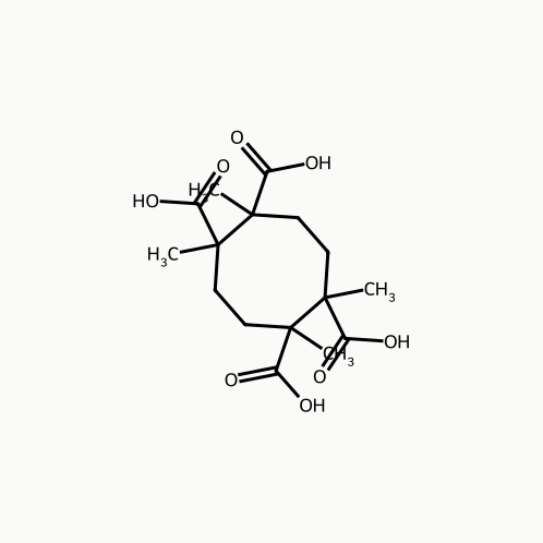 CC1(C(=O)O)CCC(C)(C(=O)O)C(C)(C(=O)O)CCC1(C)C(=O)O